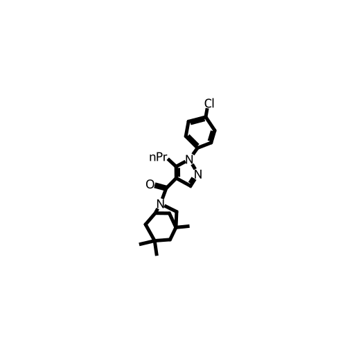 CCCc1c(C(=O)N2CC3(C)CC2CC(C)(C)C3)cnn1-c1ccc(Cl)cc1